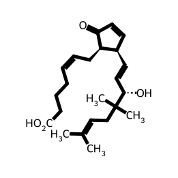 CC(C)=CCC(C)(C)[C@@H](O)/C=C/[C@@H]1C=CC(=O)[C@@H]1C/C=C\CCCC(=O)O